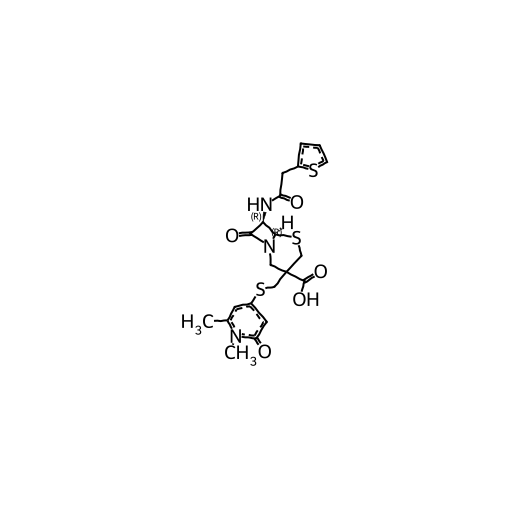 Cc1cc(SCC2(C(=O)O)CS[C@@H]3[C@H](NC(=O)Cc4cccs4)C(=O)N3C2)cc(=O)n1C